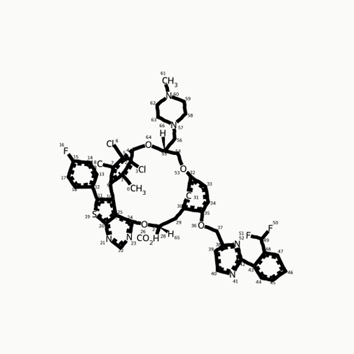 Cc1c(Cl)c2c(Cl)c(C)c1-c1c(-c3ccc(F)cc3)sc3ncnc(c13)O[C@@H](C(=O)O)Cc1cc(ccc1OCc1ccnc(-c3ccccc3C(F)F)n1)OC[C@@H](CN1CCN(C)CC1)O2